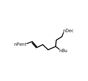 [CH2]CCCC/C=C/CCC(CCCC)CCCCCCCCCCC[CH2]